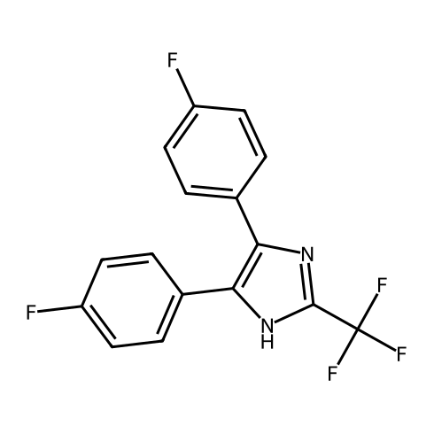 Fc1ccc(-c2nc(C(F)(F)F)[nH]c2-c2ccc(F)cc2)cc1